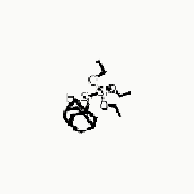 CCO[Si](OCC)(OCC)[SiH2]C12CC3CC(CC(C3)C1)C2